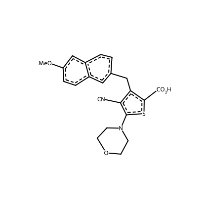 [C-]#[N+]c1c(N2CCOCC2)sc(C(=O)O)c1Cc1ccc2cc(OC)ccc2c1